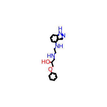 OC(CNCCNc1cccc2[nH]ncc12)COc1ccccc1